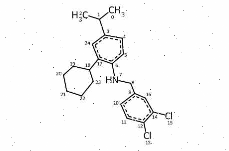 CC(C)c1ccc(NCc2ccc(Cl)c(Cl)c2)c(C2CCCCC2)c1